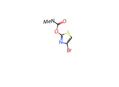 CNC(=O)Oc1nc(Br)cs1